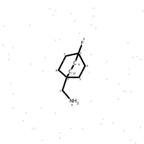 NCC12CCC(F)(CC1)CC2